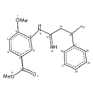 COC(=O)c1ccc(OC)c(NC(=N)CC(C)c2ccccc2)c1